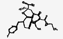 CCOC(=O)c1c(O)c2c3n(c1=O)C[C@](C)(C(=O)O)OC=3C(Cc1ccc(F)cc1)CN=2